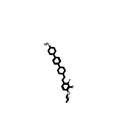 C/C=C/Oc1ccc(CCC2CCC(c3ccc(C4CCC(CCC)CC4)cc3)CC2)c(F)c1F